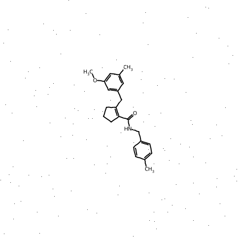 COc1cc(C)cc(CC2=C(C(=O)NCc3ccc(C)cc3)CCC2)c1